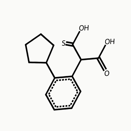 O=C(O)C(C(O)=S)c1ccccc1C1CCCC1